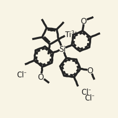 COc1cc([Si](c2ccc(C)c(OC)c2)(c2ccc(C)c(OC)c2)[C]2([Ti+3])C(C)=C(C)C(C)=C2C)ccc1C.[Cl-].[Cl-].[Cl-]